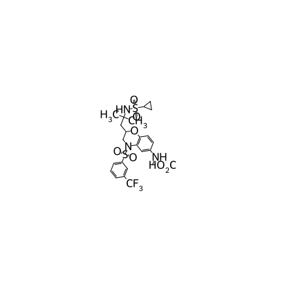 CC(C)(CC1CN(S(=O)(=O)c2cccc(C(F)(F)F)c2)c2cc(NC(=O)O)ccc2O1)NS(=O)(=O)C1CC1